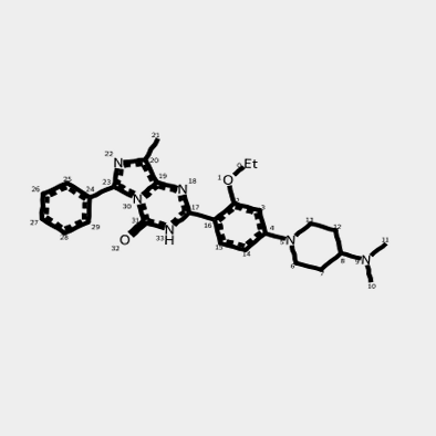 CCOc1cc(N2CCC(N(C)C)CC2)ccc1-c1nc2c(C)nc(-c3ccccc3)n2c(=O)[nH]1